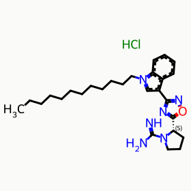 CCCCCCCCCCCCn1cc(-c2noc([C@@H]3CCCN3C(=N)N)n2)c2ccccc21.Cl